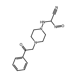 N#CC(N=O)NN1CCN(CC(=O)c2ccccc2)CC1